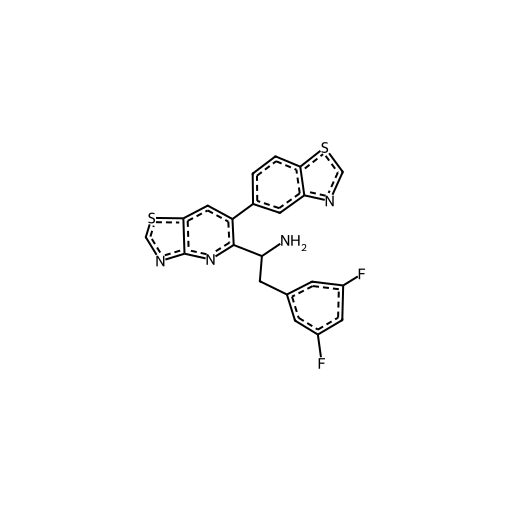 NC(Cc1cc(F)cc(F)c1)c1nc2ncsc2cc1-c1ccc2scnc2c1